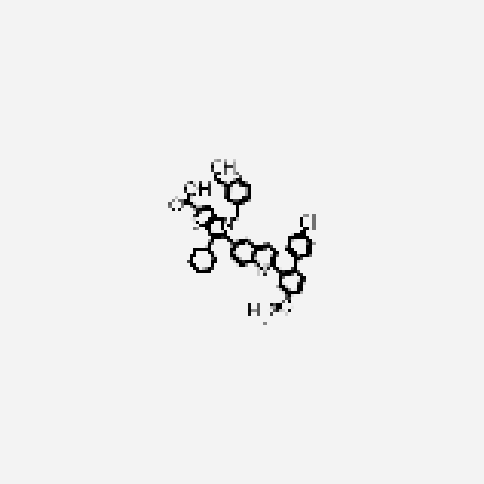 CCc1cccc(Cn2c(-c3ccc4nc(-c5cc(OC)ccc5-c5ccc(Cl)cc5)ccc4c3)c(C3CCCCC3)c3sc(C(=O)O)cc32)c1